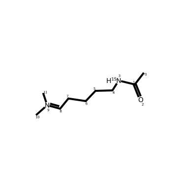 CC(=O)[15NH]CCCCC=[N+](C)C